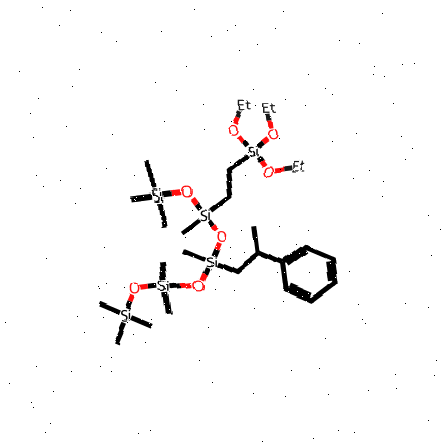 CCO[Si](CC[Si](C)(O[Si](C)(C)C)O[Si](C)(CC(C)c1ccccc1)O[Si](C)(C)O[Si](C)(C)C)(OCC)OCC